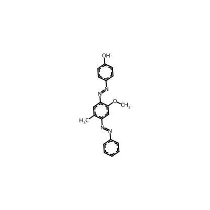 COc1cc(N=Nc2ccccc2)c(C)cc1N=Nc1ccc(O)cc1